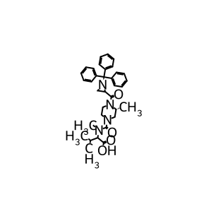 CC(C)C(C(=O)O)N(C)C(=O)N1CCN(C(=O)C2C[N@@]2C(c2ccccc2)(c2ccccc2)c2ccccc2)[C@H](C)C1